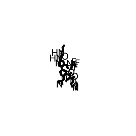 CCCNC(=O)Nc1cc(-c2nc(C(F)(F)F)cs2)c(-c2ccc3c(c2)c(=O)c(C(=O)N2CCN(C)CC2)cn3C2CN(C)C2)cn1